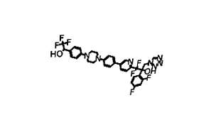 OC(c1ccc(N2CCN(c3ccc(-c4ccc(C(F)(F)C(O)(Cn5cnnn5)c5ccc(F)cc5F)nc4)cc3)CC2)cc1)C(F)(F)F